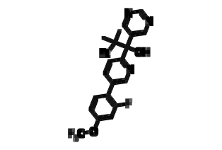 CCC(C)(C)C(O)(c1cncnc1)c1ccc(-c2ccc(OC(F)(F)F)cc2F)cn1